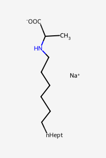 CCCCCCCCCCCCCNC(C)C(=O)[O-].[Na+]